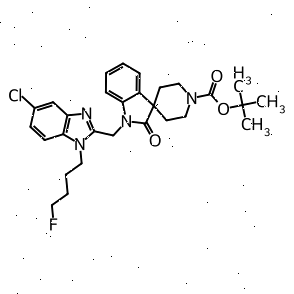 CC(C)(C)OC(=O)N1CCC2(CC1)C(=O)N(Cc1nc3cc(Cl)ccc3n1CCCCF)c1ccccc12